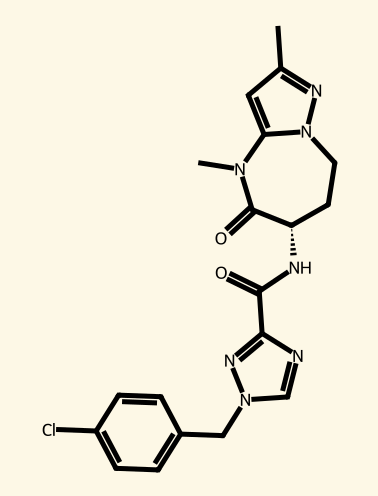 Cc1cc2n(n1)CC[C@H](NC(=O)c1ncn(Cc3ccc(Cl)cc3)n1)C(=O)N2C